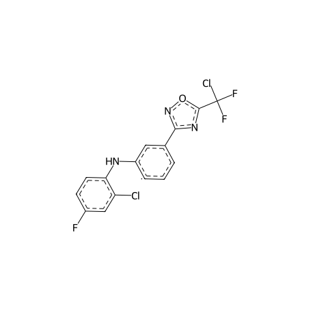 Fc1ccc(Nc2[c]ccc(-c3noc(C(F)(F)Cl)n3)c2)c(Cl)c1